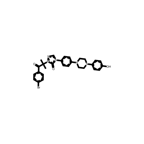 CC(C)(C(=O)c1ccc(Br)cc1)n1ncn(-c2ccc(N3CCN(c4ccc(O)cc4)CC3)cc2)c1=O